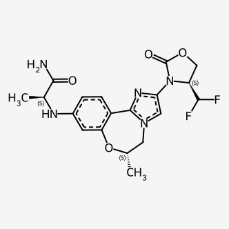 C[C@H](Nc1ccc2c(c1)O[C@@H](C)Cn1cc(N3C(=O)OC[C@H]3C(F)F)nc1-2)C(N)=O